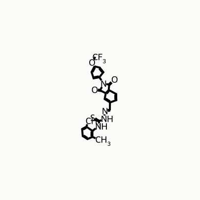 Cc1cccc(C)c1NC(=S)NN=Cc1ccc2c(c1)C(=O)N(c1ccc(OC(F)(F)F)cc1)C2=O